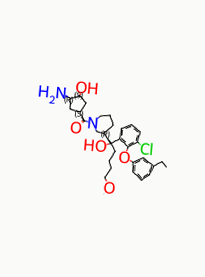 CCc1cccc(Oc2c(Cl)cccc2C(O)(CCCCOC)[C@@H]2CCCN(C(=O)[C@H]3C[C@@H](N)[C@@H](O)C3)C2)c1